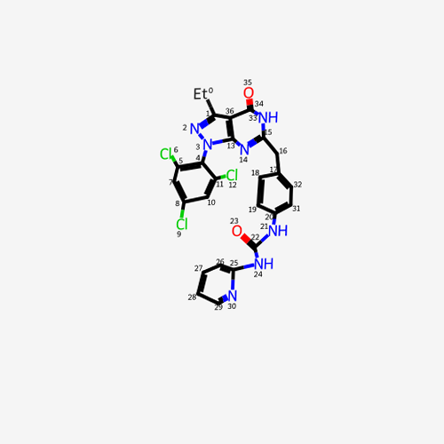 CCc1nn(-c2c(Cl)cc(Cl)cc2Cl)c2nc(Cc3ccc(NC(=O)Nc4ccccn4)cc3)[nH]c(=O)c12